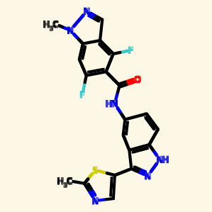 Cc1ncc(-c2n[nH]c3ccc(NC(=O)c4c(F)cc5c(cnn5C)c4F)cc23)s1